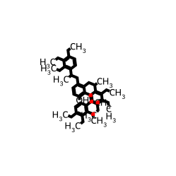 CCc1ccc(C(C)Cc2ccc(O)c(CC(C)c3ccc(CC)c(CC)c3CC)c2CC(C)c2ccc(CC)c(CC)c2CC)c(CC)c1CC